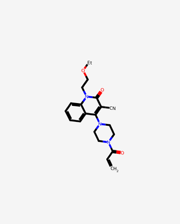 C=CC(=O)N1CCN(c2c(C#N)c(=O)n(CCOCC)c3ccccc23)CC1